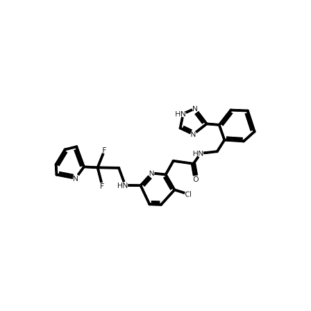 O=C(Cc1nc(NCC(F)(F)c2ccccn2)ccc1Cl)NCc1ccccc1-c1nc[nH]n1